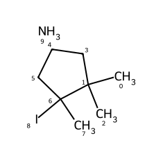 CC1(C)CCCC1(C)I.N